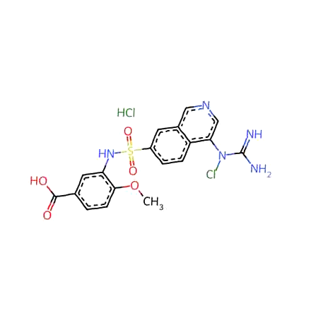 COc1ccc(C(=O)O)cc1NS(=O)(=O)c1ccc2c(N(Cl)C(=N)N)cncc2c1.Cl